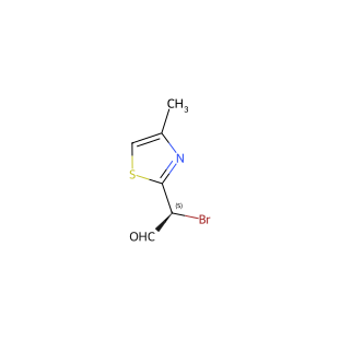 Cc1csc([C@@H](Br)C=O)n1